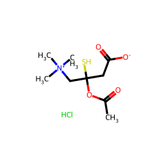 CC(=O)OC(S)(CC(=O)[O-])C[N+](C)(C)C.Cl